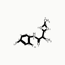 CC1OC(C(C)C(=O)Nc2ccc(F)cc2F)O1